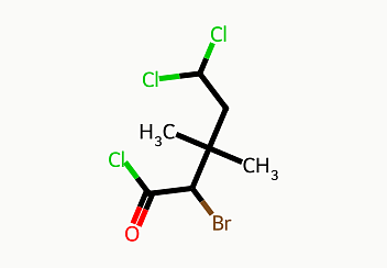 CC(C)(CC(Cl)Cl)C(Br)C(=O)Cl